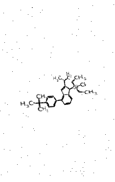 CC[Si](Cl)(CC)C1C(C(C)C)=Cc2c(-c3ccc(C(C)(C)C)cc3)cccc21